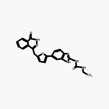 CCNC(=O)Nc1nc2ccc(-c3ccc(Cc4n[nH]c(=O)c5ccccc45)o3)cc2[nH]1